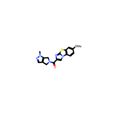 COc1ccc2c(c1)sc1nc(C(=O)N3Cc4cnn(C)c4C3)cn12